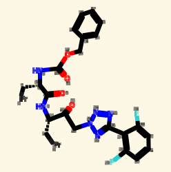 CC(C)C[C@H](NC(=O)[C@H](CC(C)C)NC(=O)OCc1ccccc1)C(=O)Cn1nnc(-c2c(F)cccc2F)n1